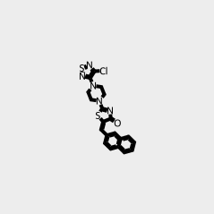 O=C1N=C(N2CCN(c3nsnc3Cl)CC2)SC1=Cc1ccc2ccccc2c1